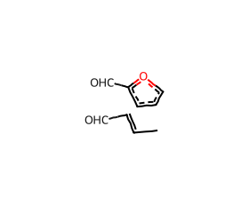 CC=CC=O.O=Cc1ccco1